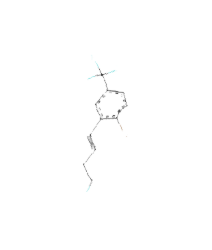 FCC/C=C/c1cc(C(F)(F)F)ccc1Br